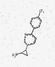 NC1CC1c1ccc(-c2ccc(C(F)(F)F)cc2)nc1